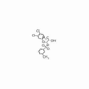 Cc1cccc(S(=O)(=O)OC(Oc2ccc(Cl)c(Cl)c2)C(C)O)c1